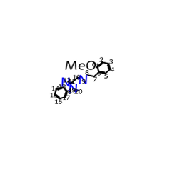 COc1ccccc1CCN=Cc1nc2ccccc2n1C